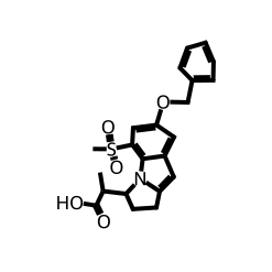 CC(C(=O)O)C1CCc2cc3cc(OCc4ccccc4)cc(S(C)(=O)=O)c3n21